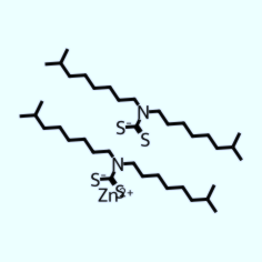 CC(C)CCCCCCN(CCCCCCC(C)C)C(=S)[S-].CC(C)CCCCCCN(CCCCCCC(C)C)C(=S)[S-].[Zn+2]